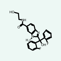 Cn1c(C(O)(c2ccccc2F)c2ccccc2F)nc2ccc(C(=O)NCCO)cc21